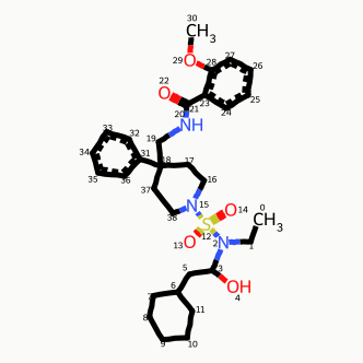 CCN(C(O)CC1CCCCC1)S(=O)(=O)N1CCC(CNC(=O)c2ccccc2OC)(c2ccccc2)CC1